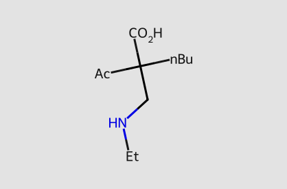 CCCCC(CNCC)(C(C)=O)C(=O)O